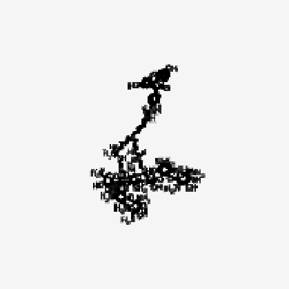 C=C(NCCCCN(CCCCCNC(=S)Nc1ccc(C2CC3(OC2=O)c2ccc(O)cc2Oc2cc(O)ccc23)cc1)CCCNC(=S)NCCSC[C@H]1OC(O[C@@H]2C(O)[C@H](N)CC(N)[C@H]2O[C@@H]2OC(CN)[C@@H](O)[C@H](O)C2N)[C@@H](O)[C@H]1O[C@H]1O[C@@H](CN)[C@@H](O)C(O)C1N)NCCSC[C@H]1OC(O[C@@H]2C(O)[C@H](N)CC(N)[C@H]2O[C@H]2OC(CN)[C@@H](O)[C@H](O)C2N)[C@@H](O)[C@H]1O[C@H]1O[C@@H](CN)[C@@H](O)C(O)C1N